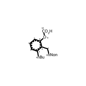 CCCCCCCCCCc1c(CCCC)cccc1OC(=O)O